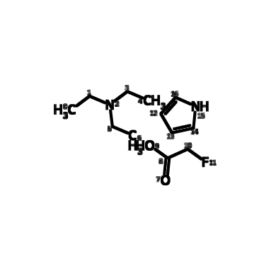 CCN(CC)CC.O=C(O)CF.c1cc[nH]c1